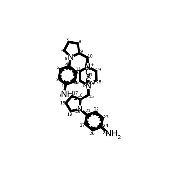 Nc1ccc(N2CCCC2C[N+]23CC[N+](CC4CCCN4c4ccc(N)cc4)(CC2)CC3)cc1